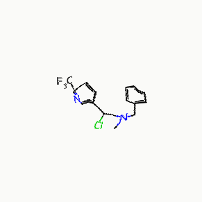 CN(Cc1ccccc1)CC(Cl)c1ccc(C(F)(F)F)nc1